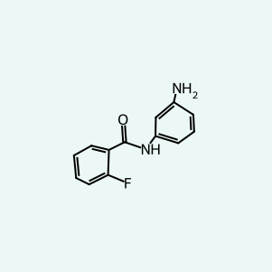 Nc1cccc(NC(=O)c2ccccc2F)c1